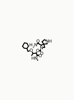 CNC(=O)C(OC(=O)N1CC2(CCNC2)C1C(N)=O)C(C)OCC1CCCCC1